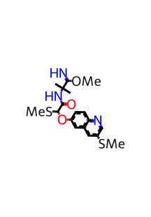 COC(=N)C(C)(C)NC(=O)C(Oc1ccc2ncc(SC)cc2c1)SC